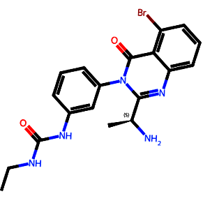 CCNC(=O)Nc1cccc(-n2c([C@H](C)N)nc3cccc(Br)c3c2=O)c1